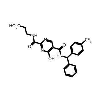 O=C(O)CCNC(=O)c1ncc(C(=O)NC(c2ccccc2)c2ccc(C(F)(F)F)cc2)c(O)n1